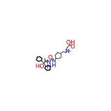 C[C@@H](NC(=O)N[C@H]1CC[C@H](CCN(C)CC(=O)O)CC1)C(O)(c1ccccc1)c1ccccc1